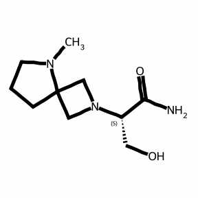 CN1CCCC12CN([C@@H](CO)C(N)=O)C2